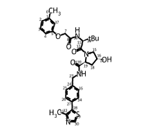 Cc1cccc(OCC(=O)N[C@H](C(=O)N2C[C@H](O)C[C@H]2C(=O)NCc2ccc(-c3scnc3C)cc2)C(C)(C)C)c1